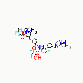 C[C@H]1CN(Cc2cccc(-c3cc(CNC(=O)c4cccc(CC5CC[N+](C)(C)C(OC(=O)C(F)(F)F)C5)c4)ccc3F)c2)CCN1.O=C(O)C(F)(F)F